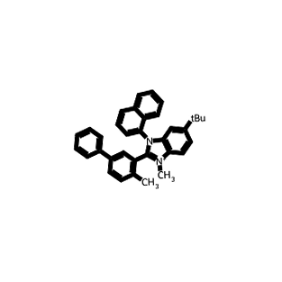 Cc1ccc(-c2ccccc2)cc1-c1n(-c2cccc3ccccc23)c2cc(C(C)(C)C)ccc2[n+]1C